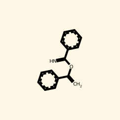 C=C(OC(=N)c1ccccc1)c1ccccc1